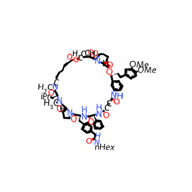 CCCCCCNC(=O)Cc1ccc(C[C@@H]2NC(=O)[C@H](c3ccccc3)NC(=O)CCC(=O)Nc3cccc(c3)[C@@H](CCc3ccc(OC)c(OC)c3)OC(=O)[C@@H]3CCCCN3C(=O)C(=O)C(C)(C)COC(=O)/C=C/CCCCN(C)C(=O)[C@H](CC(C)C)N(C)C(=O)[C@H]3CCCN3C2=O)cc1